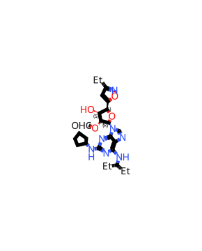 CCc1cc([C@H]2O[C@@H](n3cnc4c(NC(CC)CC)nc(NC5CCCC5)nc43)[C@H](OC=O)[C@@H]2O)on1